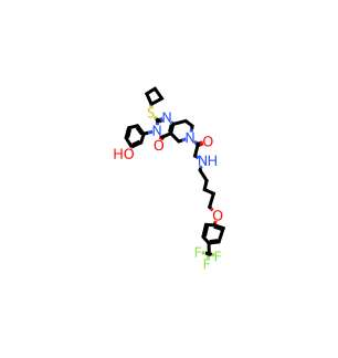 O=C(CNCCCCCOc1ccc(C(F)(F)F)cc1)N1CCc2nc(SC3CCC3)n(-c3cccc(O)c3)c(=O)c2C1